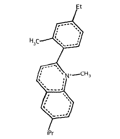 CCc1ccc(-c2ccc3cc(C(C)C)ccc3[n+]2C)c(C)c1